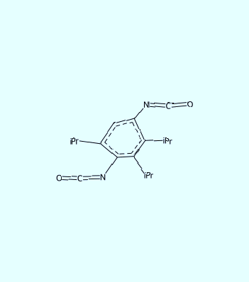 CC(C)c1cc(N=C=O)c(C(C)C)c(C(C)C)c1N=C=O